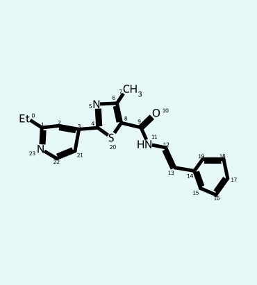 CCc1cc(-c2nc(C)c(C(=O)NC=Cc3ccccc3)s2)ccn1